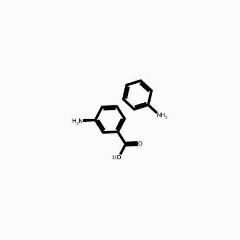 Nc1cccc(C(=O)O)c1.Nc1ccccc1